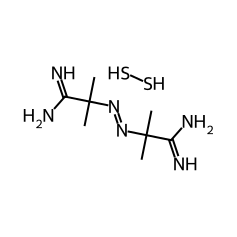 CC(C)(/N=N/C(C)(C)C(=N)N)C(=N)N.SS